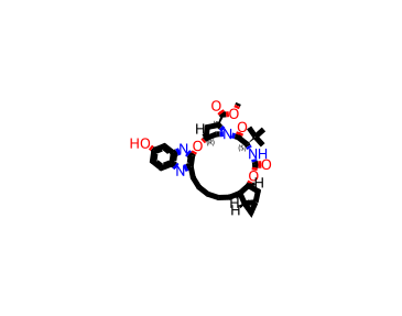 COC(=O)[C@@H]1C[C@@H]2CN1C(=O)[C@H](C(C)(C)C)NC(=O)O[C@@H]1CC3C[C@@H]3[C@H]1CCCCCc1nc3ccc(O)cc3nc1O2